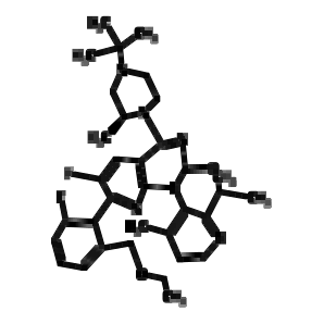 CCOCc1cccc(F)c1-c1nc2c(cc1F)c(N1CCN(C(C)(C)C)C[C@@H]1C)nc(=O)n2-c1c(C)ccnc1C(C)C